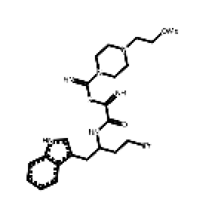 COCCN1CCN(C(=N)SC(=N)C(=O)NC(CCC(C)C)Cc2c[nH]c3ccccc23)CC1